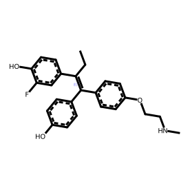 CC/C(=C(/c1ccc(O)cc1)c1ccc(OCCNC)cc1)c1ccc(O)c(F)c1